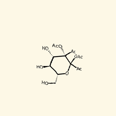 CC(=O)OC1(C(C)=O)O[C@H](CO)[C@@H](O)[C@H](O)[C@@]1(OC(C)=O)C(C)=O